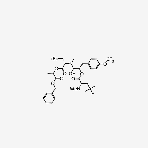 CN[C@@H](CC(C)(C)F)C(=O)O[C@H](Cc1ccc(OC(F)(F)F)cc1)C(O)N(C)[C@@H](CC(C)(C)C)C(=O)O[C@H](C)C(=O)OCc1ccccc1